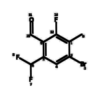 Cc1c(Br)cc(C(F)F)c(C=O)c1F